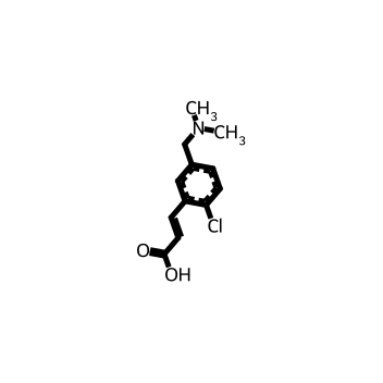 CN(C)Cc1ccc(Cl)c(/C=C/C(=O)O)c1